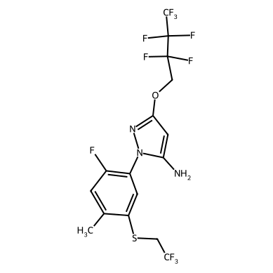 Cc1cc(F)c(-n2nc(OCC(F)(F)C(F)(F)C(F)(F)F)cc2N)cc1SCC(F)(F)F